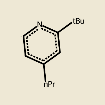 CCCc1c[c]nc(C(C)(C)C)c1